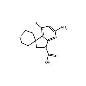 Nc1cc(F)c2c(c1)N(C(=O)O)CC21CCOCC1